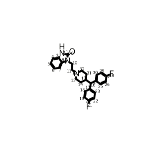 O=c1[nH]c2ccccc2n1CCN1CCC(C(c2ccc(F)cc2)c2ccc(F)cc2)CC1